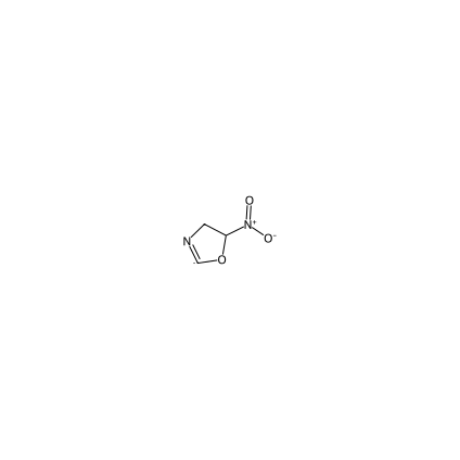 O=[N+]([O-])C1CN=[C]O1